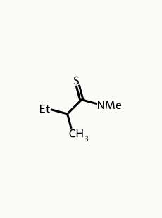 CCC(C)C(=S)NC